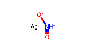 O=[NH+][O-].[Ag]